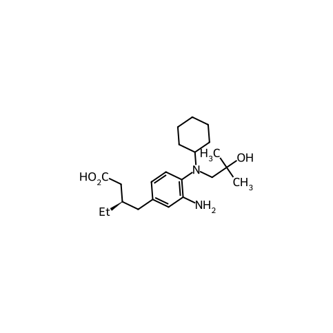 CC[C@@H](CC(=O)O)Cc1ccc(N(CC(C)(C)O)C2CCCCC2)c(N)c1